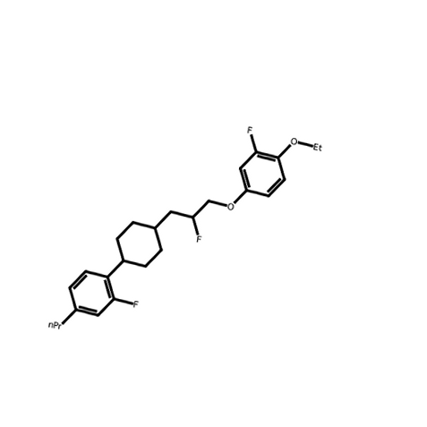 CCCc1ccc(C2CCC(CC(F)COc3ccc(OCC)c(F)c3)CC2)c(F)c1